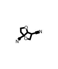 N#CC1COC2(C#N)CCOC12